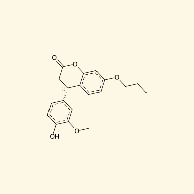 CCCOc1ccc2c(c1)OC(=O)C[C@H]2c1ccc(O)c(OC)c1